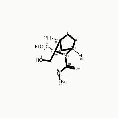 CCOC(=O)[C@]1(CO)[C@H]2CC[C@H](C2)N1C(=O)OC(C)(C)C